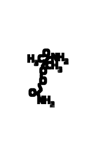 CC(C)(COCOCCC(N)=O)C(N)=O